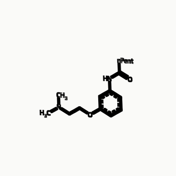 CCCCCC(=O)Nc1cccc(OCCN(C)C)c1